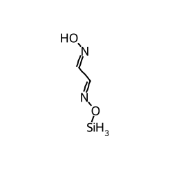 ON=CC=NO[SiH3]